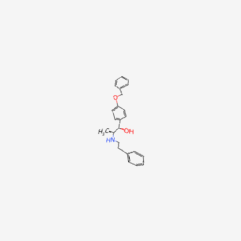 C[C@H](NCCc1ccccc1)[C@H](O)c1ccc(OCc2ccccc2)cc1